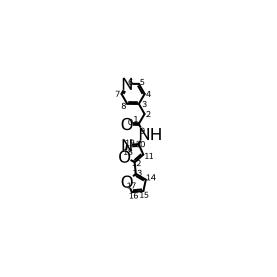 O=C(Cc1ccncc1)Nc1cc(-c2ccco2)on1